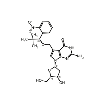 CC(C)(C)[C@H](OCc1cn([C@H]2C[C@@H](O)[C@@H](CO)O2)c2nc(N)[nH]c(=O)c12)c1ccccc1[N+](=O)[O-]